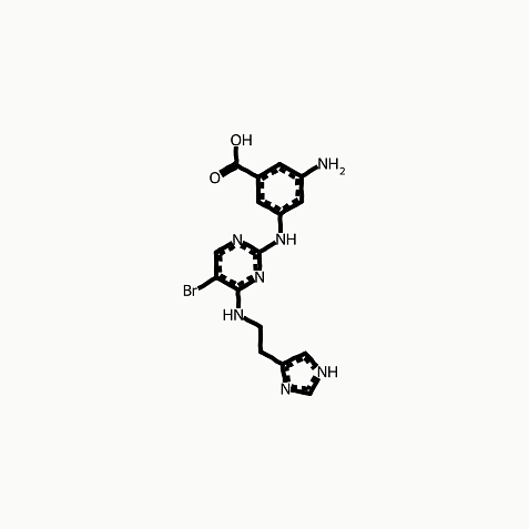 Nc1cc(Nc2ncc(Br)c(NCCc3c[nH]cn3)n2)cc(C(=O)O)c1